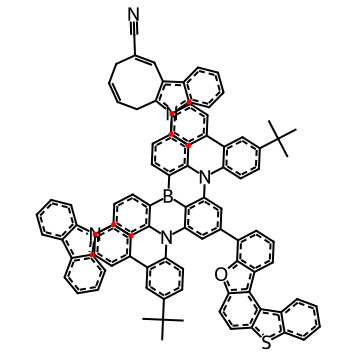 CC(C)(C)c1ccc(N2c3cc(-n4c5c(c6ccccc64)/C=C(/C#N)C/C=C\C5)ccc3B3c4ccc(-n5c6ccccc6c6ccccc65)cc4N(c4ccc(C(C)(C)C)cc4-c4ccccc4)c4cc(-c5cccc6c5oc5ccc7sc8ccccc8c7c56)cc2c43)c(-c2ccccc2)c1